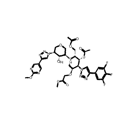 COC(=O)CO[C@H]1C[SH]([C@@H]2COC[C@H](n3cc(-c4cnc(OC)nc4)nn3)[C@H]2O)[C@H](COC(C)=O)[C@H](OC(C)=O)[C@H]1n1cc(-c2cc(F)c(F)c(F)c2)nn1